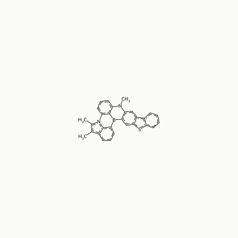 Cc1c(C)n2c3c(cccc13)B1c3cc4sc5ccccc5c4cc3N(C)c3cccc-2c31